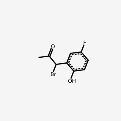 CC(=O)C(Br)c1cc(F)ccc1O